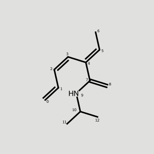 C=C/C=C\C(=C/C)C(=C)NC(C)C